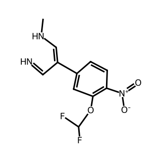 CN/C=C(\C=N)c1ccc([N+](=O)[O-])c(OC(F)F)c1